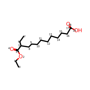 CCOC(=O)C(CC)CCCCCCCCCC(=O)O